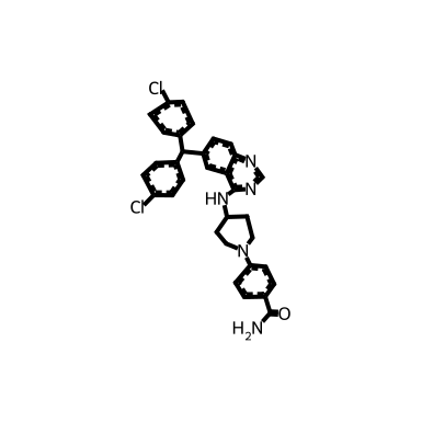 NC(=O)c1ccc(N2CCC(Nc3ncnc4ccc(C(c5ccc(Cl)cc5)c5ccc(Cl)cc5)cc34)CC2)cc1